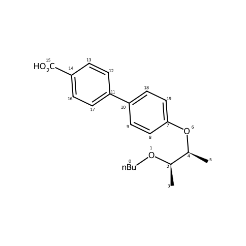 CCCCO[C@H](C)[C@H](C)Oc1ccc(-c2ccc(C(=O)O)cc2)cc1